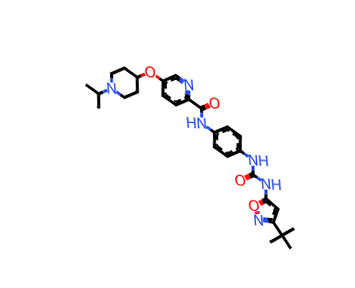 CC(C)N1CCC(Oc2ccc(C(=O)Nc3ccc(NC(=O)Nc4cc(C(C)(C)C)no4)cc3)nc2)CC1